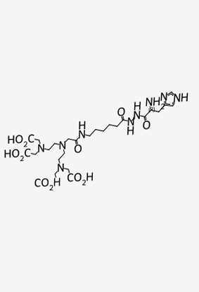 N[C@H](Cc1c[nH]cn1)C(=O)NNC(=O)CCCCCNC(=O)CN(CCN(CC(=O)O)CC(=O)O)CCN(CC(=O)O)CC(=O)O